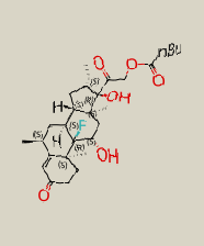 CCCCC(=O)OCC(=O)[C@@]1(O)[C@@H](C)C[C@H]2[C@@H]3C[C@H](C)C4=CC(=O)CC[C@]4(C)[C@@]3(F)[C@@H](O)C[C@@]21C